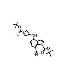 CC(C)(C)OC(=O)N1CC(NC2C=CC(C#N)=C3C2C=CN3C(=O)OC(C)(C)C)C1